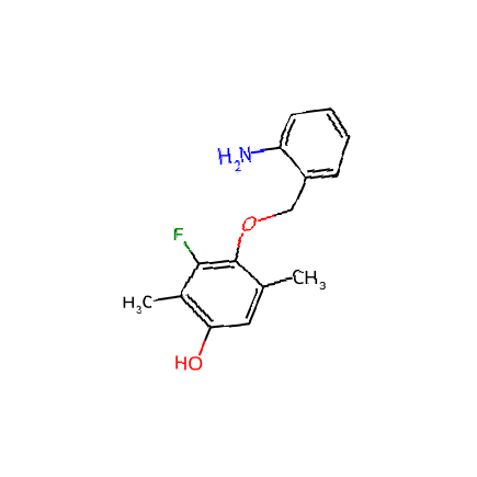 Cc1cc(O)c(C)c(F)c1OCc1ccccc1N